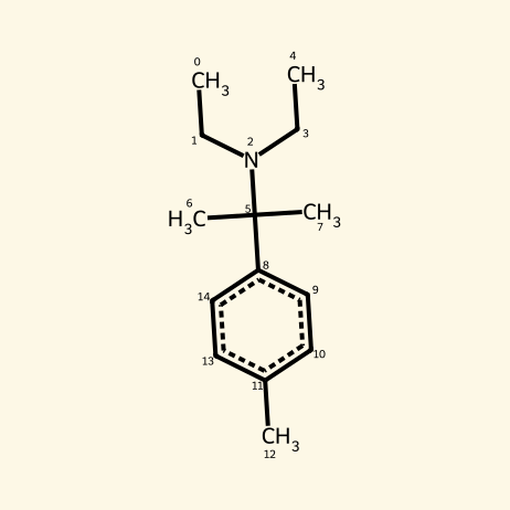 CCN(CC)C(C)(C)c1ccc(C)cc1